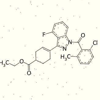 CCOC(=O)C1CC=C(c2nn(C(=O)c3c(C)cccc3Cl)c3cccc(F)c23)CC1